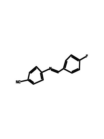 N#Cc1ccc(N=Cc2ccc(F)cc2)cc1